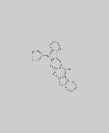 O=c1c2cc3c4ccccc4n(-c4ccccc4)c3cc2oc2nc3ccccc3n12